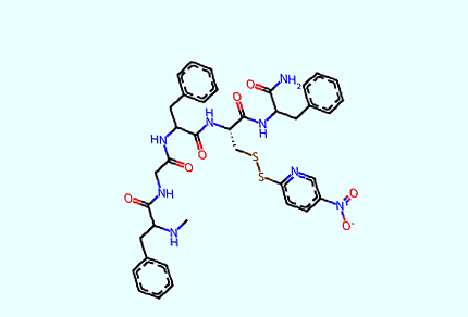 CNC(Cc1ccccc1)C(=O)NCC(=O)NC(Cc1ccccc1)C(=O)N[C@@H](CSSc1ccc([N+](=O)[O-])cn1)C(=O)NC(Cc1ccccc1)C(N)=O